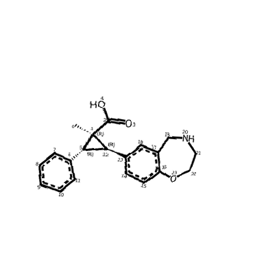 C[C@@]1(C(=O)O)[C@@H](c2ccccc2)[C@@H]1c1ccc2c(c1)CNCCO2